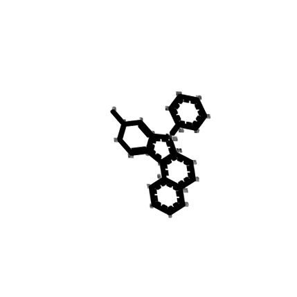 CC1C=c2c(c3c4ccccc4ccc3n2-c2ccccc2)=CC1